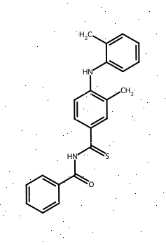 [CH2]c1ccccc1Nc1ccc(C(=S)NC(=O)c2ccccc2)cc1[CH2]